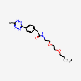 Cc1nnc(-c2ccc(CC(=O)NCCOCCOCCC(=O)O)cc2)nn1